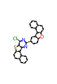 Clc1nc(-c2ccc3oc4ccc5ccccc5c4c3c2)nc2c1sc1ccc3ccccc3c12